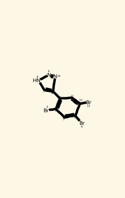 Brc1cc(Br)c(-c2c[nH]nn2)cc1Br